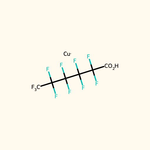 O=C(O)C(F)(F)C(F)(F)C(F)(F)C(F)(F)C(F)(F)F.[Cu]